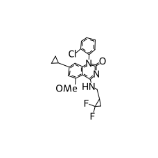 COc1cc(C2CC2)cc2c1c(NCC1CC1(F)F)nc(=O)n2-c1ccccc1Cl